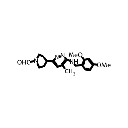 COc1ccc(CNc2nnc(C3CCN(C=O)CC3)cc2C)c(OC)c1